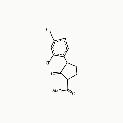 COC(=O)C1CCC(c2ccc(Cl)cc2Cl)C1=O